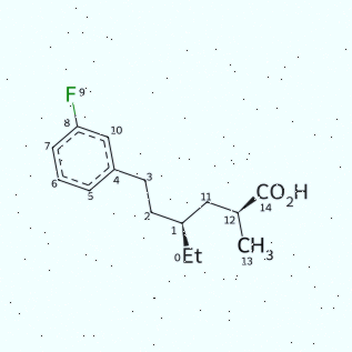 CC[C@@H](CCc1cccc(F)c1)C[C@H](C)C(=O)O